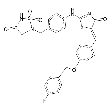 O=C1CN(Cc2ccc(NC3=NC(=O)/C(=C/c4ccc(OCc5ccc(F)cc5)cc4)S3)cc2)S(=O)(=O)N1